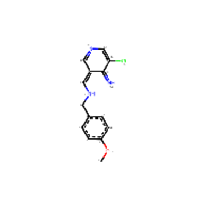 COc1ccc(CN/C=C2/C=NC=C(Cl)C2=N)cc1